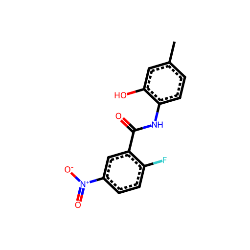 Cc1ccc(NC(=O)c2cc([N+](=O)[O-])ccc2F)c(O)c1